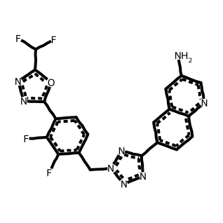 Nc1cnc2ccc(-c3nnn(Cc4ccc(-c5nnc(C(F)F)o5)c(F)c4F)n3)cc2c1